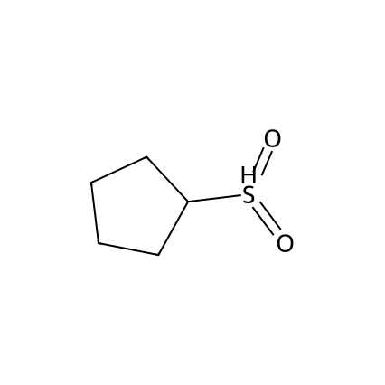 O=[SH](=O)C1CCCC1